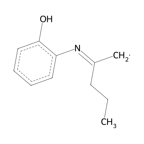 [CH2]C(CCC)=Nc1ccccc1O